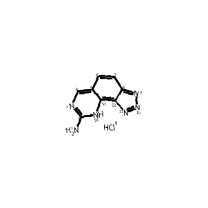 Cl.Nc1ncc2ccc3nnnc3c2[nH]1